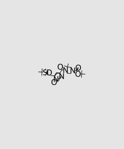 CC(C)(C)OC(=O)N1CCN(C(=O)c2cc(CO[Si](C)(C)C(C)(C)C)[n+]([O-])cn2)C(C)(C)C1